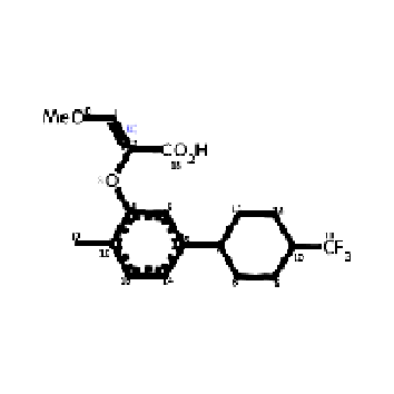 CO/C=C(\Oc1cc(C2CCC(C(F)(F)F)CC2)ccc1C)C(=O)O